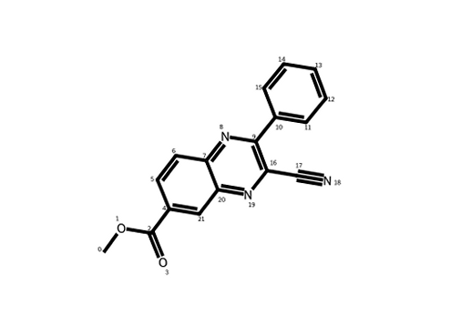 COC(=O)c1ccc2nc(-c3ccccc3)c(C#N)nc2c1